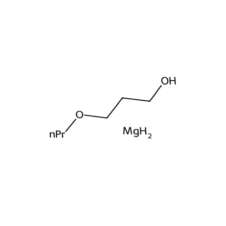 CCCOCCCO.[MgH2]